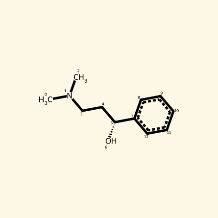 CN(C)CC[C@@H](O)c1ccccc1